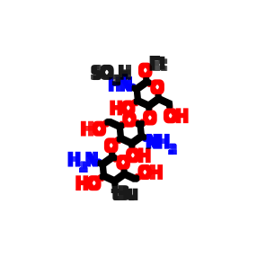 CCOC1OC(CO)C(OC2OC(CO)C(OC3OC(CO)C(C(C)(C)C)C(O)C3N)C(O)C2N)C(O)C1NS(=O)(=O)O